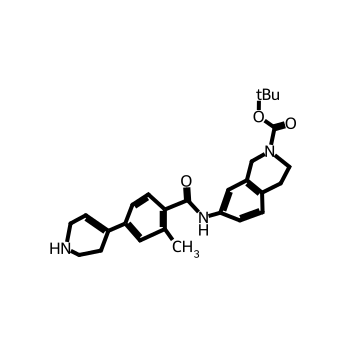 Cc1cc(C2=CCNCC2)ccc1C(=O)Nc1ccc2c(c1)CN(C(=O)OC(C)(C)C)CC2